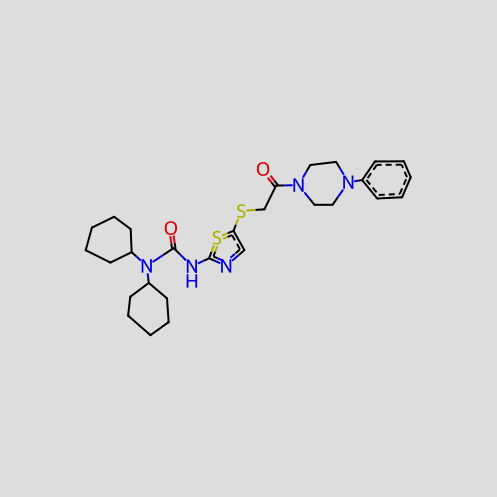 O=C(CSc1cnc(NC(=O)N(C2CCCCC2)C2CCCCC2)s1)N1CCN(c2ccccc2)CC1